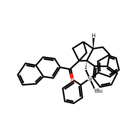 CC(C)(C)[Si](C[C@@]12c3ccccc3CC[C@H]1C1CC2(C(=O)c2ccc3ccccc3c2)C1)(c1ccccc1)c1ccccc1